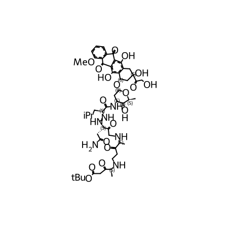 COc1cccc2c1C(=O)c1c(O)c3c(c(O)c1C2=O)C[C@@](O)(C(=O)CO)C[C@@H]3O[C@H]1C[C@H](NC(=O)[C@H](CC(C)C)NN[C@@H](CC(N)=O)C(=O)CN[C@@H](C)C(=O)CCN[C@@H](C)C(=O)CC(=O)OC(C)(C)C)[C@H](O)[C@H](C)O1